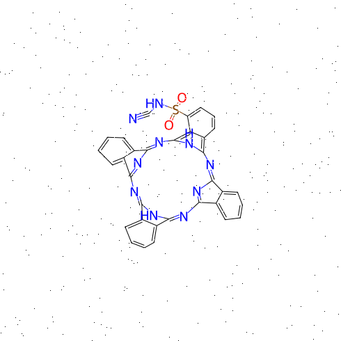 N#CNS(=O)(=O)c1cccc2c3nc4nc(nc5[nH]c(nc6nc(nc([nH]3)c12)-c1ccccc1-6)c1ccccc51)-c1ccccc1-4